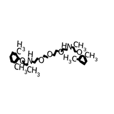 Cc1cccc(C)c1OCC(C)NCCOCCOCCOCCNC(C)COc1c(C)cccc1C